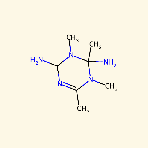 CC1=NC(N)N(C)C(C)(N)N1C